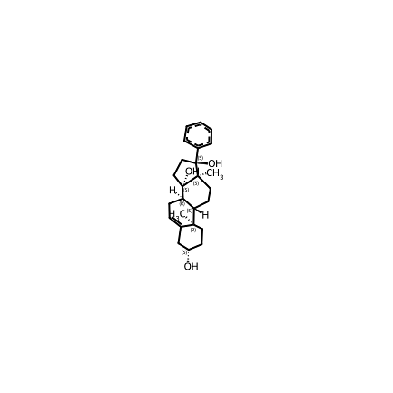 C[C@]12CC[C@H]3[C@@H](CC=C4C[C@@H](O)CC[C@@]43C)[C@@]1(O)CC[C@]2(O)c1ccccc1